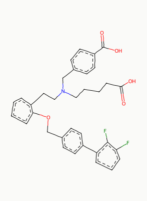 O=C(O)CCCCN(CCc1ccccc1OCc1ccc(-c2cccc(F)c2F)cc1)Cc1ccc(C(=O)O)cc1